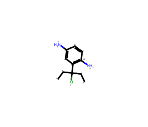 CCC(Cl)(CC)c1cc(N)ccc1N